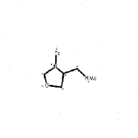 CCN1COCC1CNC